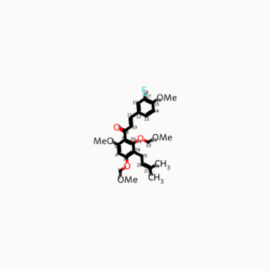 COCOc1cc(OC)c(C(=O)C=Cc2ccc(OC)c(F)c2)c(OCOC)c1CC=C(C)C